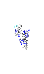 Fc1ccccc1-c1nccc2[nH]c(-c3n[nH]c4cnc(-c5cncc(CNCC6CCCC6)c5)cc34)cc12